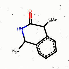 CSC1C(=O)NC(C)c2ccccc21